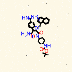 CC(C)(C)OC(=O)NC1CCC(NC(=O)c2c(C(N)=O)c3ccc(C(=N)N)cc3n2Cc2cccc3ccccc23)CC1